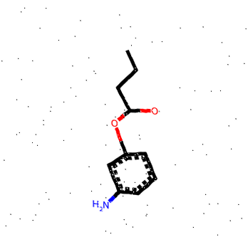 CCCC([O])Oc1cccc(N)c1